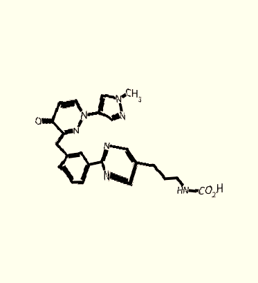 Cn1cc(-n2ccc(=O)c(Cc3cccc(-c4ncc(CCCNC(=O)O)cn4)c3)n2)cn1